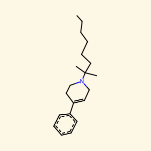 CCCCCCC(C)(C)N1CC=C(c2ccccc2)CC1